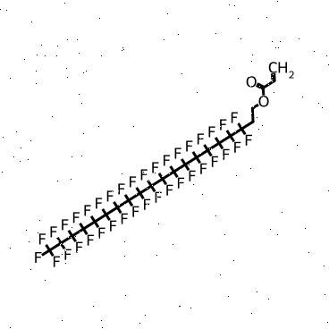 C=CC(=O)OCCC(F)(F)C(F)(F)C(F)(F)C(F)(F)C(F)(F)C(F)(F)C(F)(F)C(F)(F)C(F)(F)C(F)(F)C(F)(F)C(F)(F)C(F)(F)C(F)(F)C(F)(F)C(F)(F)C(F)(F)C(F)(F)F